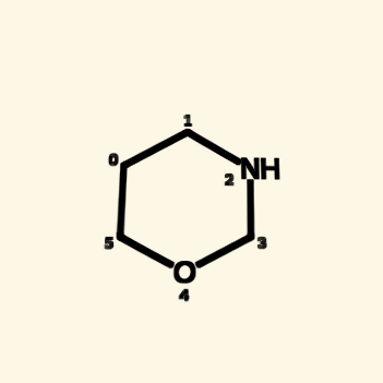 C1CNCOC1